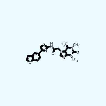 C=C1c2c(ncn2CC(=O)Nc2nc(-c3ccc4occc4c3)cs2)N(C)C(=O)N1C